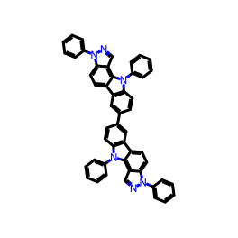 c1ccc(-n2ncc3c2ccc2c4cc(-c5ccc6c(c5)c5ccc7c(cnn7-c7ccccc7)c5n6-c5ccccc5)ccc4n(-c4ccccc4)c23)cc1